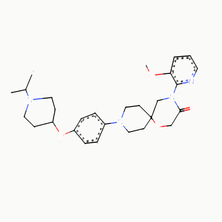 COc1cccnc1N1CC2(CCN(c3ccc(OC4CCN(C(C)C)CC4)cc3)CC2)OCC1=O